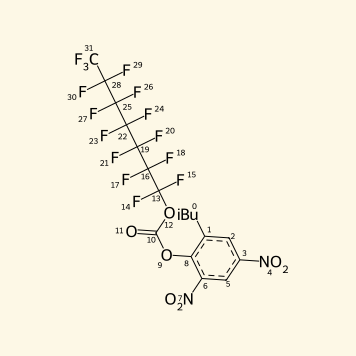 CCC(C)c1cc([N+](=O)[O-])cc([N+](=O)[O-])c1OC(=O)OC(F)(F)C(F)(F)C(F)(F)C(F)(F)C(F)(F)C(F)(F)C(F)(F)F